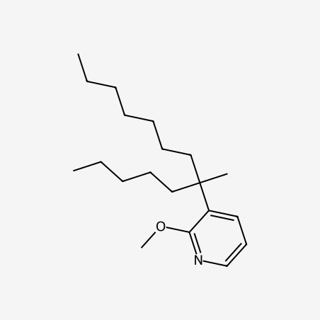 CCCCCCCC(C)(CCCCC)c1cccnc1OC